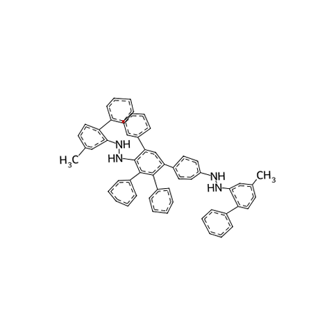 Cc1ccc(-c2ccccc2)c(NNc2ccc(-c3cc(-c4ccccc4)c(NNc4cc(C)ccc4-c4ccccc4)c(-c4ccccc4)c3-c3ccccc3)cc2)c1